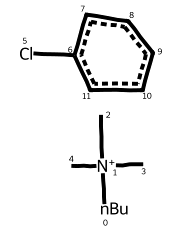 CCCC[N+](C)(C)C.Clc1ccccc1